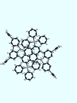 N#Cc1ccc2c(c1)-c1cc(C#N)cc3c1B2c1cc2c(S(c4ccccc4)(c4ccccc4)c4ccccc4)cc4c5c(cc6c(S(c7ccccc7)(c7ccccc7)c7ccccc7)cc-3c1c6c25)B1c2ccc(C#N)cc2-c2cc(C#N)cc-4c21